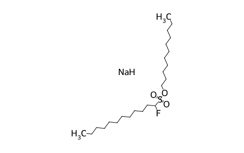 CCCCCCCCCCCOS(=O)(=O)C(F)CCCCCCCCCCC.[NaH]